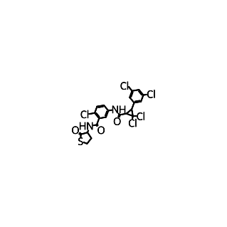 O=C(NC1CCSC1=O)c1cc(NC(=O)C2C(c3cc(Cl)cc(Cl)c3)C2(Cl)Cl)ccc1Cl